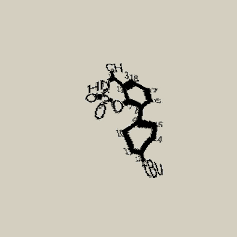 CC1NS(=O)(=O)Oc2c(-c3ccc(C(C)(C)C)cc3)cccc21